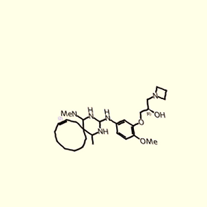 CNC1NC(Nc2ccc(OC)c(OC[C@H](O)CN3CCC3)c2)NC(C)C12C/C=C\CCCCCC2